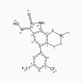 CN1CCc2c(-c3cc(C(F)(F)F)cc(C(F)(F)F)c3)cc3c(c2C1)NC(=O)/C3=N\O